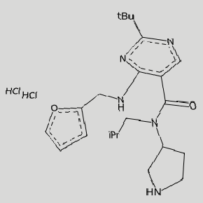 CC(C)CN(C(=O)c1cnc(C(C)(C)C)nc1NCc1ccco1)C1CCNC1.Cl.Cl